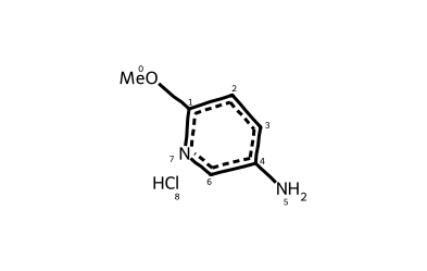 COc1ccc(N)cn1.Cl